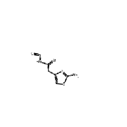 Nc1nc(CC(=O)NC=O)cs1